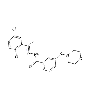 C/C(=N\NC(=O)c1cccc(SN2CCOCC2)c1)c1cc(Cl)ccc1Cl